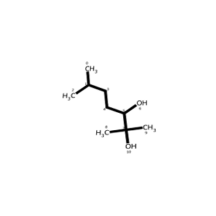 CC(C)CCC(O)C(C)(C)O